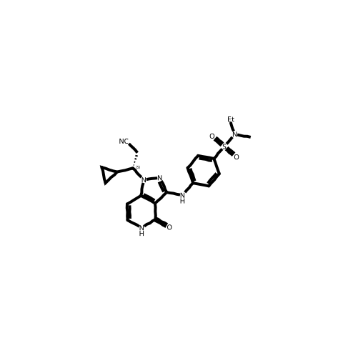 CCN(C)S(=O)(=O)c1ccc(Nc2nn([C@@H](CC#N)C3CC3)c3cc[nH]c(=O)c23)cc1